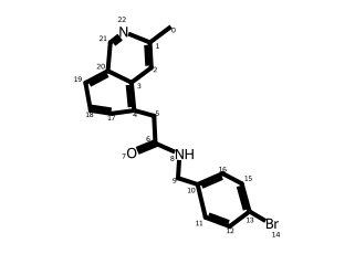 Cc1cc2c(CC(=O)NCc3ccc(Br)cc3)cccc2cn1